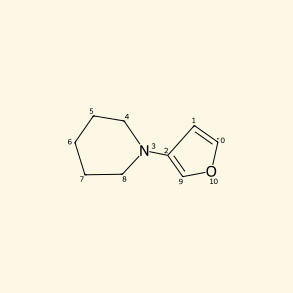 [c]1cc(N2CCCCC2)co1